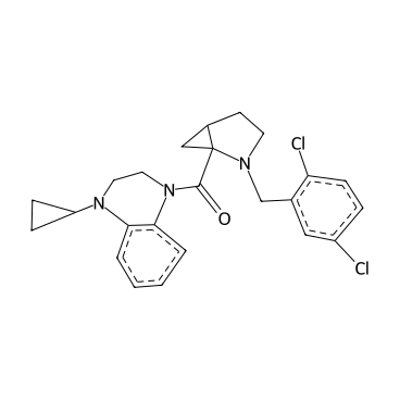 O=C(N1CCN(C2CC2)c2ccccc21)C12CC1CCN2Cc1cc(Cl)ccc1Cl